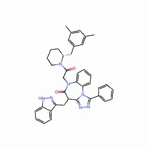 Cc1cc(C)cc(C[C@H]2CCCCN2C(=O)CN2C(=O)C(Cc3n[nH]c4ccccc34)c3nnc(-c4ccccc4)n3-c3ccccc32)c1